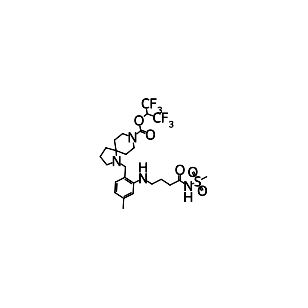 Cc1ccc(CN2CCCC23CCN(C(=O)OC(C(F)(F)F)C(F)(F)F)CC3)c(NCCCC(=O)NS(C)(=O)=O)c1